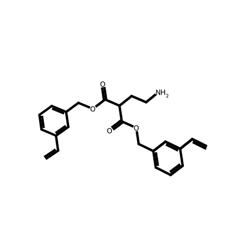 C=Cc1cccc(COC(=O)C(CCN)C(=O)OCc2cccc(C=C)c2)c1